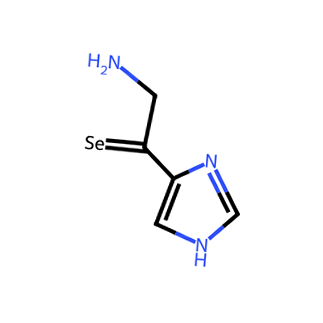 NCC(=[Se])c1c[nH]cn1